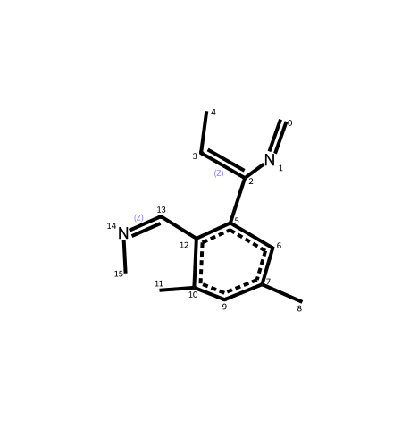 C=N/C(=C\C)c1cc(C)cc(C)c1/C=N\C